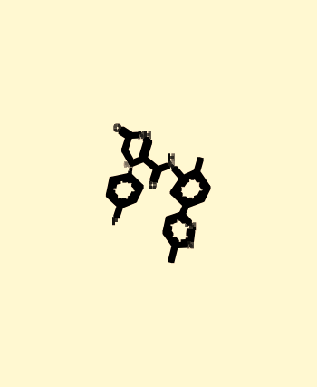 Cc1ccc(-c2ccc(C)c(NC(=O)C3=CNC(=O)C[C@H]3c3ccc(F)cc3)c2)nn1